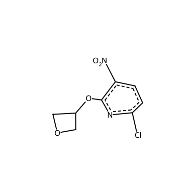 O=[N+]([O-])c1ccc(Cl)nc1OC1COC1